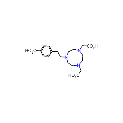 O=C(O)CN1CCN(CCc2ccc(C(=O)O)cc2)CCN(CC(=O)O)CC1